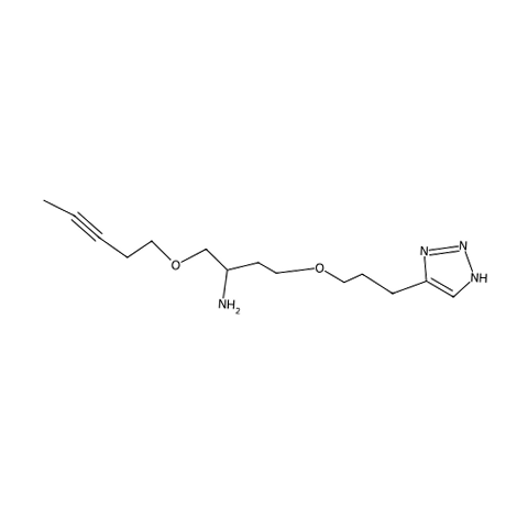 CC#CCCOCC(N)CCOCCCc1c[nH]nn1